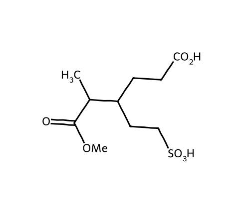 COC(=O)C(C)C(CCC(=O)O)CCS(=O)(=O)O